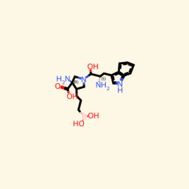 N[C@@H](Cc1c[nH]c2ccccc12)C(O)N1CC(CCCB(O)O)[C@](N)(C(=O)O)C1